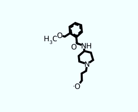 COCc1ccccc1C(=O)NC1CCN(CCC[O])CC1